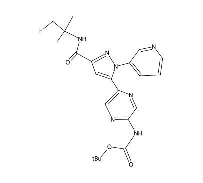 CC(C)(CF)NC(=O)c1cc(-c2cnc(NC(=O)OC(C)(C)C)cn2)n(-c2cccnc2)n1